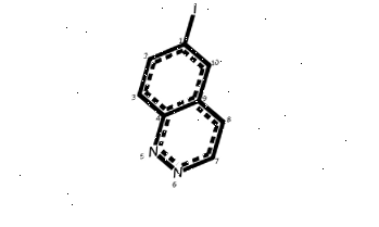 Ic1ccc2nnccc2c1